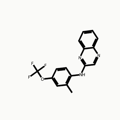 Cc1cc(OC(F)(F)F)ccc1Nc1cnc2ccccc2n1